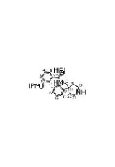 CC(C)Oc1cccc(C(=O)NCC2(c3ccccc3)CCNCC2)c1.Cl